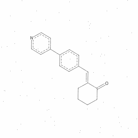 O=C1CCCC/C1=C\c1ccc(-c2ccncc2)cc1